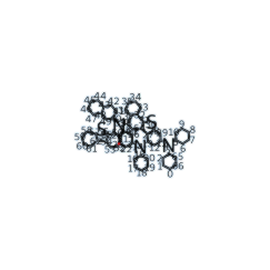 c1ccc(N(c2ccccc2)c2cc(N(c3ccccc3)c3ccccc3)c3c(c2)sc2c4ccccc4c(N(c4ccc5ccccc5c4)c4cccc5c4sc4ccccc45)cc23)cc1